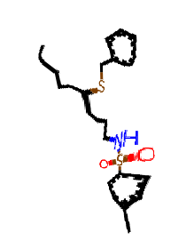 CCCCC(CCCNS(=O)(=O)c1ccc(C)cc1)SCc1ccccc1